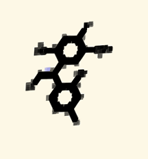 CC/C=C(/c1cc(OC)c(F)cc1O)c1ccc(C)cc1Br